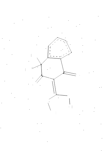 CSC(SC)=C1C(=O)c2ccccc2C(C)(C)C1=O